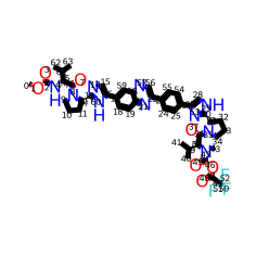 COC(=O)N[C@@H](C(=O)N1CCC[C@H]1c1ncc(-c2ccc3nc(-c4ccc(-c5c[nH]c([C@@H]6CCCN6C(=O)[C@H](C(C)C)N(C)C(=O)OC(=O)C(F)(F)F)n5)cc4)cnc3c2)[nH]1)C(C)C